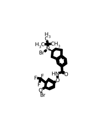 CC(C)(C)N(Br)[C@H]1CCc2ccc(C(=O)NOC3=CC(C(F)(F)F)C(OBr)C=C3)cc2C1